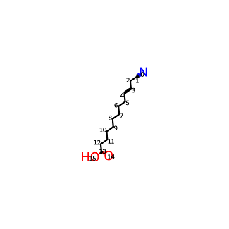 N#CC/C=C/CCCCCCCCC(=O)O